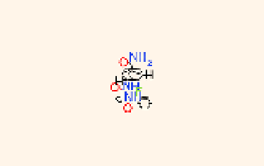 NC(=O)C12CC3C[C@H](CC(C1)[C@H]3NC(=O)C1(NC(=O)c3ccccc3F)CC1)C2